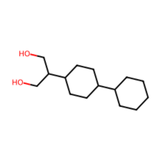 OCC(CO)C1CCC(C2CCCCC2)CC1